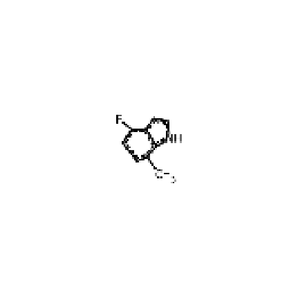 Cc1ccc(F)c2cc[nH]c12